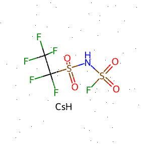 O=S(=O)(F)NS(=O)(=O)C(F)(F)C(F)(F)F.[CsH]